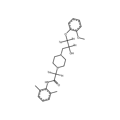 [2H]C([2H])(C(=O)Nc1c(C)cccc1C)N1CCN(CC([2H])(O)C([2H])([2H])Oc2ccccc2OC)CC1